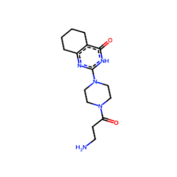 NCCC(=O)N1CCN(c2nc3c(c(=O)[nH]2)CCCC3)CC1